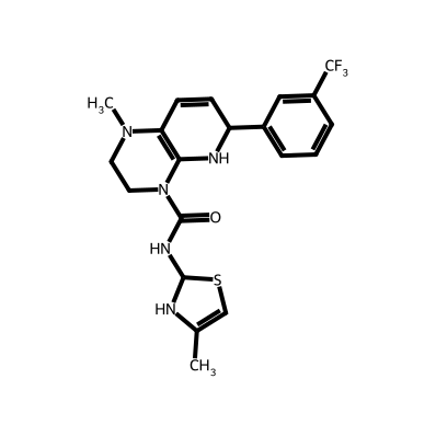 CC1=CSC(NC(=O)N2CCN(C)C3=C2NC(c2cccc(C(F)(F)F)c2)C=C3)N1